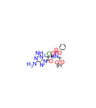 CC(C)OC(=O)[C@@H](C)NP(=O)(Oc1ccccc1)O[C@@H]1CO[C@@H](n2cnc3c(N)nc(N)nc32)[C@]1(C)Cl